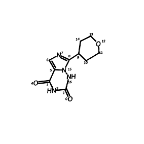 O=c1[nH]c(=O)c2cnc(C3CCOCC3)n2[nH]1